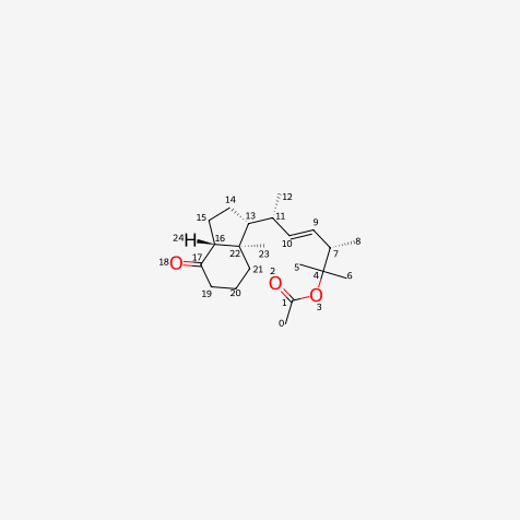 CC(=O)OC(C)(C)[C@@H](C)/C=C/[C@@H](C)[C@H]1CC[C@H]2C(=O)CCC[C@]12C